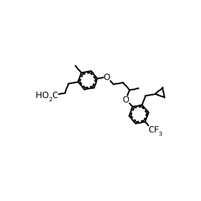 Cc1cc(OCCC(C)Oc2ccc(C(F)(F)F)cc2CC2CC2)ccc1CCC(=O)O